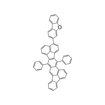 c1ccc(-c2c3cc4c5ccccc5c5cccc(c3c(-c3ccccc3)c3c6ccc(-c7ccc8c(c7)oc7ccccc78)c7cccc(c23)c76)c54)cc1